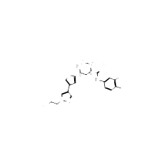 CN1[C@@H](C(=O)Nc2ccc(F)c(Cl)c2)C[C@@H](c2cc(-c3cnn(CCO)c3)cs2)NS1(=O)=O